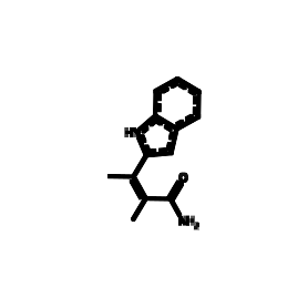 CC(C(N)=O)=C(C)c1cc2ccccc2[nH]1